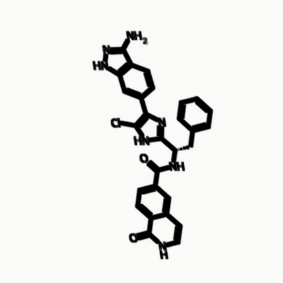 Nc1n[nH]c2cc(-c3nc([C@H](Cc4ccccc4)NC(=O)c4ccc5c(=O)[nH]ccc5c4)[nH]c3Cl)ccc12